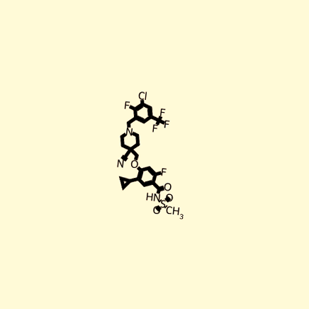 CS(=O)(=O)NC(=O)c1cc(C2CC2)c(OCC2(C#N)CCN(Cc3cc(C(F)(F)F)cc(Cl)c3F)CC2)cc1F